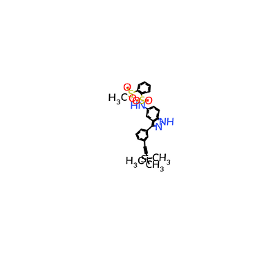 C[Si](C)(C)C#Cc1cccc(-c2n[nH]c3ccc(NS(=O)(=O)c4ccccc4S(C)(=O)=O)cc23)c1